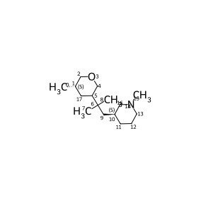 C[C@@H]1COCC(C(C)(C)C[C@@H]2CCCN(C)C2)C1